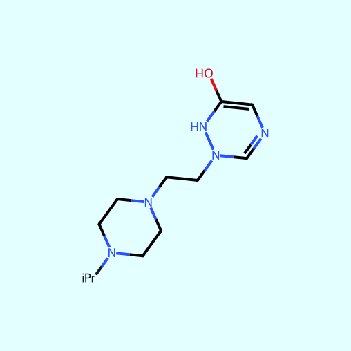 CC(C)N1CCN(CCN2C=NC=C(O)N2)CC1